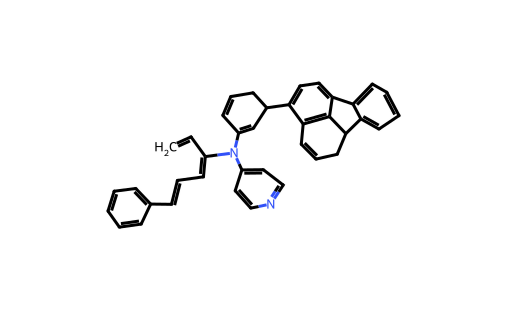 C=C/C(=C\C=C\c1ccccc1)N(C1=CC(c2ccc3c4c2C=CCC4c2ccccc2-3)CC=C1)c1ccncc1